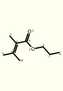 CCCOC(=O)C(C)=C(C)C